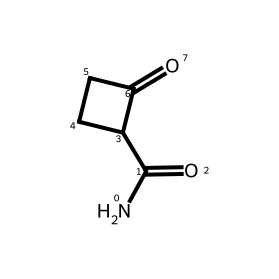 NC(=O)C1CCC1=O